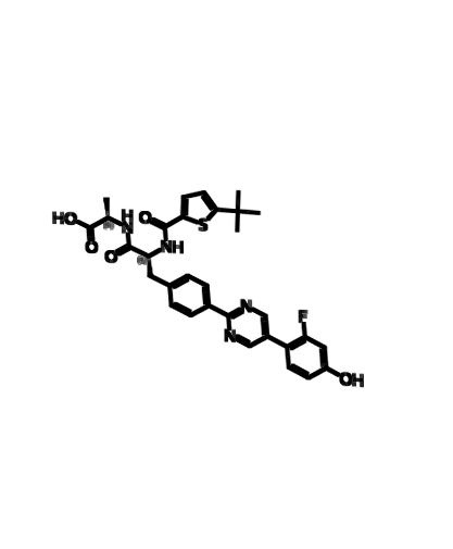 C[C@@H](NC(=O)[C@H](Cc1ccc(-c2ncc(-c3ccc(O)cc3F)cn2)cc1)NC(=O)c1ccc(C(C)(C)C)s1)C(=O)O